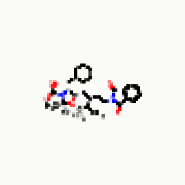 CC(C)[C@H](CCN1C(=O)c2ccccc2C1=O)C[C@@H]1OC(C)(C)N(C(=O)O)[C@H]1CC1CCCCC1